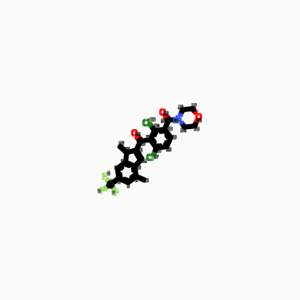 Cc1cc(C(F)(F)F)cc2c1C=C(C(=O)c1c(Cl)ccc(C(=O)N3CCOCC3)c1Cl)C2C